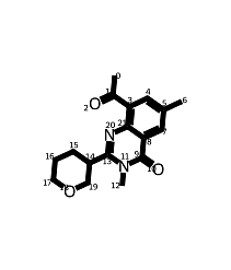 CC(=O)c1cc(C)cc2c(=O)n(C)c(C3CCCOC3)nc12